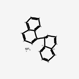 N.c1ccc2c(-c3cccc4ccccc34)cccc2c1